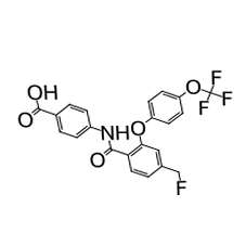 O=C(O)c1ccc(NC(=O)c2ccc(CF)cc2Oc2ccc(OC(F)(F)F)cc2)cc1